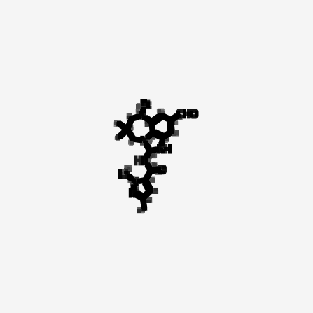 CCN1CC(C)(C)CN2c3c(cc(C=O)cc31)NC2NC(=O)c1cc(C)nn1CC